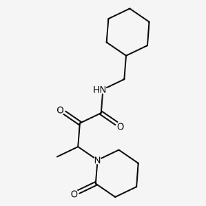 CC(C(=O)C(=O)NCC1CCCCC1)N1CCCCC1=O